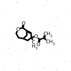 C=C(C)C(=O)OC1(C)C=C2CC(CCOC2=O)C1